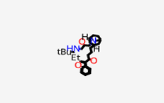 CCc1oc2ccccc2c1C(=O)CCC[C@H]1CC2CC[C@H](C1)N(CC(=O)CNCC(C)(C)C)C2